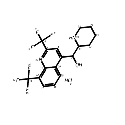 Cl.OC(c1cc(C(F)(F)F)nc2c(C(F)(F)F)cccc12)C1CCCCN1